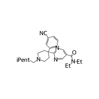 CCCC(C)CN1CCC(c2cccc(C#N)c2)(c2ncc(C(=O)N(CC)CC)cn2)CC1